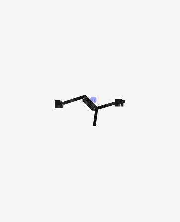 [CH2]C/C=C(\C)C(C)C